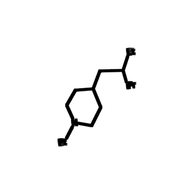 CCC(CC1CCN(CC)CC1)C(C)C